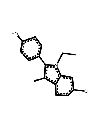 CCn1c(-c2ccc(O)cc2)c(C)c2ccc(O)cc21